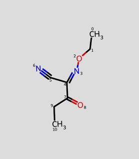 CCO/N=C(\C#N)C(=O)CC